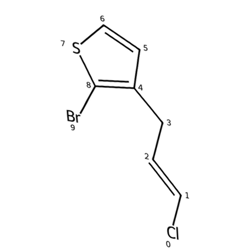 ClC=CCc1ccsc1Br